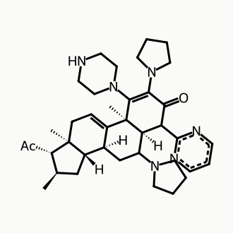 CC(=O)[C@H]1[C@H](C)C[C@H]2[C@@H]3CC(N4CCCC4)[C@@H]4C(c5ncccn5)C(=O)C(N5CCCC5)=C(N5CCNCC5)[C@]4(C)C3=CC[C@@]21C